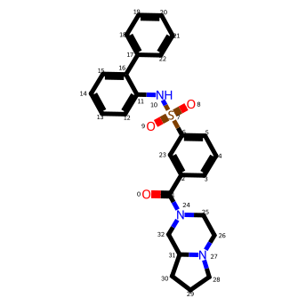 O=C(c1cccc(S(=O)(=O)Nc2ccccc2-c2ccccc2)c1)N1CCN2CCCC2C1